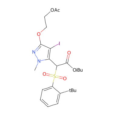 CC(=O)OCCOc1nn(C)c(C(C(=O)OCC(C)C)S(=O)(=O)c2ccccc2C(C)(C)C)c1I